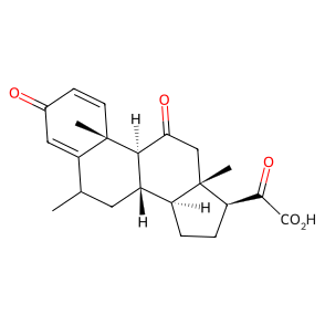 CC1C[C@H]2[C@@H]3CC[C@H](C(=O)C(=O)O)[C@@]3(C)CC(=O)[C@@H]2[C@@]2(C)C=CC(=O)C=C12